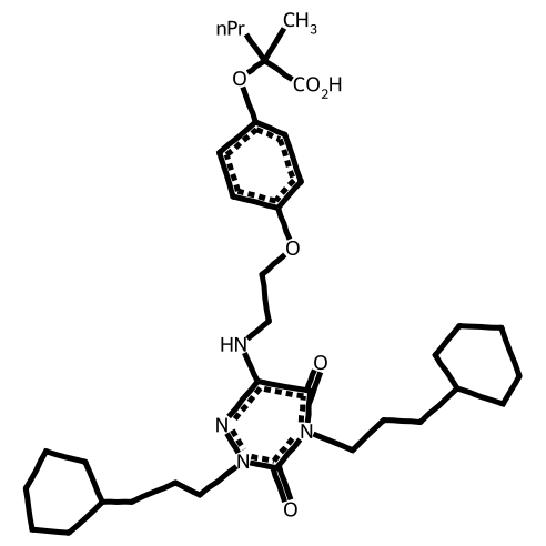 CCCC(C)(Oc1ccc(OCCNc2nn(CCCC3CCCCC3)c(=O)n(CCCC3CCCCC3)c2=O)cc1)C(=O)O